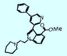 COC(=O)c1cccc2c1c(-c1cncc(-c3ccccc3)c1)cn2CCN1CCCCC1